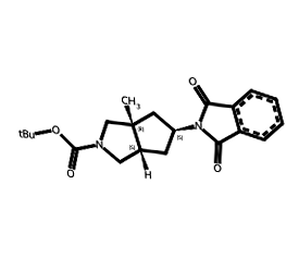 CC(C)(C)OC(=O)N1C[C@H]2C[C@H](N3C(=O)c4ccccc4C3=O)C[C@@]2(C)C1